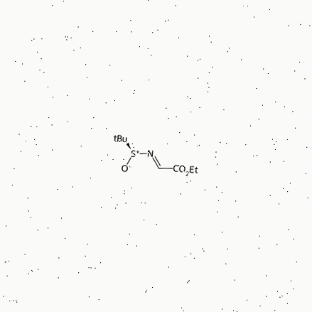 CCOC(=O)/C=N/[S@@+]([O-])C(C)(C)C